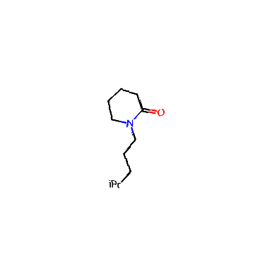 CC(C)CCCN1CCCCC1=O